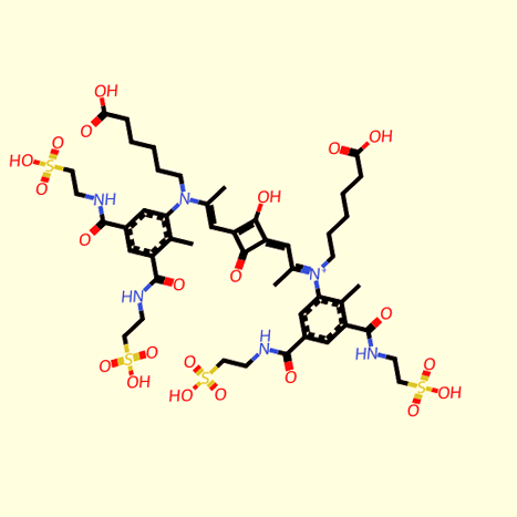 C/C(=C\C1=C(O)C(=C/C(C)=[N+](\CCCCCC(=O)O)c2cc(C(=O)NCCS(=O)(=O)O)cc(C(=O)NCCS(=O)(=O)O)c2C)/C1=O)N(CCCCCC(=O)O)c1cc(C(=O)NCCS(=O)(=O)O)cc(C(=O)NCCS(=O)(=O)O)c1C